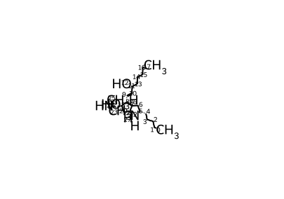 CCCCC[C@H]1C[C@@H]2[C@@H](C=C[C@@H](O)CCCCC)[C@H](O)C[C@@H]2N1.CNC